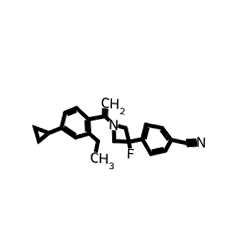 C=C(c1ccc(C2CC2)cc1CC)N1CC(F)(c2ccc(C#N)cc2)C1